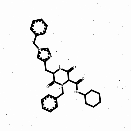 O=C(NC1CCCCC1)C1C(=O)NC(Cc2cn(Cc3ccccc3)cn2)C(=O)N1Cc1ccccc1